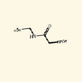 [CH2]CCCCNC(=O)CNC